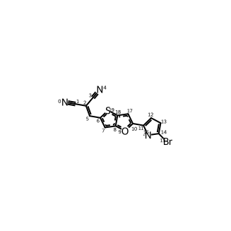 N#CC(C#N)=Cc1cc2oc(C3=CC=C(Br)[N]3)cc2s1